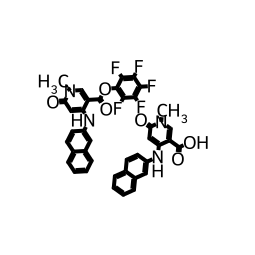 Cn1cc(C(=O)O)c(Nc2ccc3ccccc3c2)cc1=O.Cn1cc(C(=O)Oc2c(F)c(F)c(F)c(F)c2F)c(Nc2ccc3ccccc3c2)cc1=O